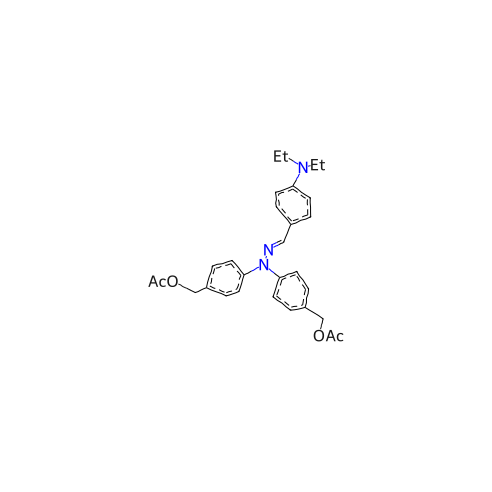 CCN(CC)c1ccc(C=NN(c2ccc(COC(C)=O)cc2)c2ccc(COC(C)=O)cc2)cc1